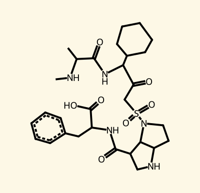 CNC(C)C(=O)NC(C(=O)CS(=O)(=O)N1CCC2NCC(C(=O)NC(Cc3ccccc3)C(=O)O)C21)C1CCCCC1